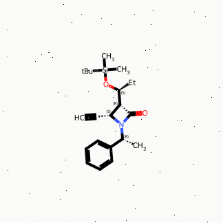 C#C[C@@H]1[C@H]([C@H](CC)O[Si](C)(C)C(C)(C)C)C(=O)N1[C@H](C)c1ccccc1